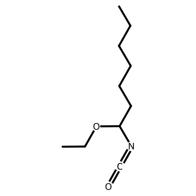 CCCCCCC(N=C=O)OCC